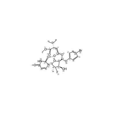 COC(=O)[C@@H](/N=[P+](\[O-])OC(Oc1ccc(Br)cc1)[C@@H]1O[C@@H](n2ccc(=O)[nH]c2=O)[C@](C)(F)[C@@H]1O)C(C)C